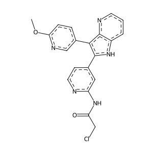 COc1ccc(-c2c(-c3ccnc(NC(=O)CCl)c3)[nH]c3cccnc23)cn1